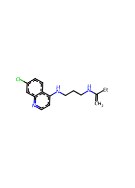 C=C(CC)NCCCNc1ccnc2cc(Cl)ccc12